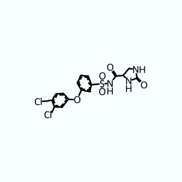 O=C1NCC(C(=O)NS(=O)(=O)c2cccc(Oc3ccc(Cl)c(Cl)c3)c2)N1